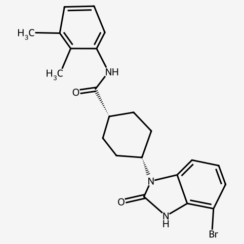 Cc1cccc(NC(=O)[C@H]2CC[C@@H](n3c(=O)[nH]c4c(Br)cccc43)CC2)c1C